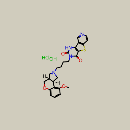 COc1cccc2c1[C@@H]1CN(CCCCn3c(=O)[nH]c4c(sc5ccncc54)c3=O)C[C@H]1CO2.Cl.Cl